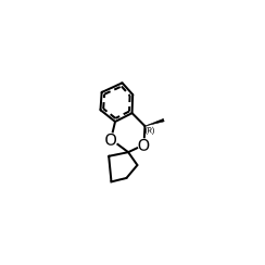 C[C@H]1OC2(CCCC2)Oc2ccccc21